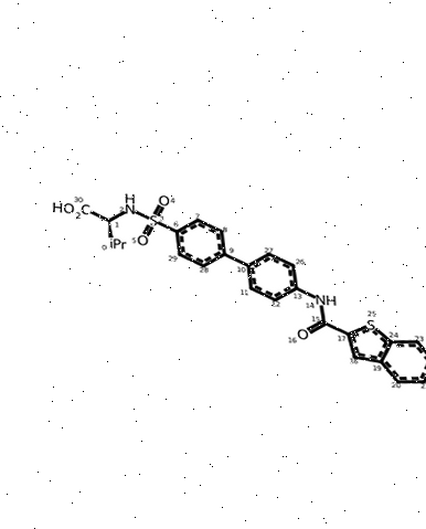 CC(C)[C@H](NS(=O)(=O)c1ccc(-c2ccc(NC(=O)c3cc4ccccc4s3)cc2)cc1)C(=O)O